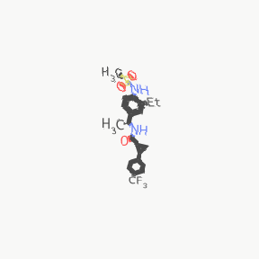 CCc1cc([C@@H](C)NC(=O)C2CC2c2ccc(C(F)(F)F)cc2)ccc1NS(C)(=O)=O